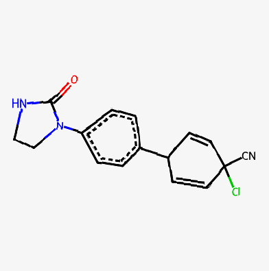 N#CC1(Cl)C=CC(c2ccc(N3CCNC3=O)cc2)C=C1